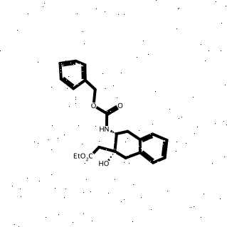 CCOC(=O)C[C@]1(O)Cc2ccccc2C[C@H]1NC(=O)OCc1ccccc1